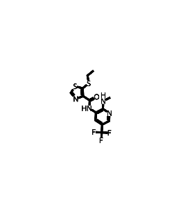 CCSc1scnc1C(=O)Nc1cc(C(F)(F)F)cnc1NC